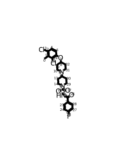 Cc1c(Cl)ccc(OC2CCN(C3CCN(S(=O)(=O)NC(=O)c4ccc(F)cc4)CC3)CC2)c1Cl